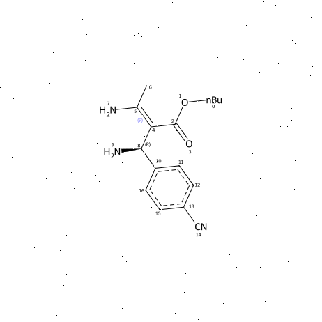 CCCCOC(=O)/C(=C(\C)N)[C@H](N)c1ccc(C#N)cc1